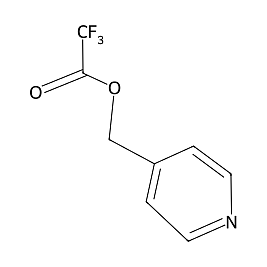 O=C(OCc1ccncc1)C(F)(F)F